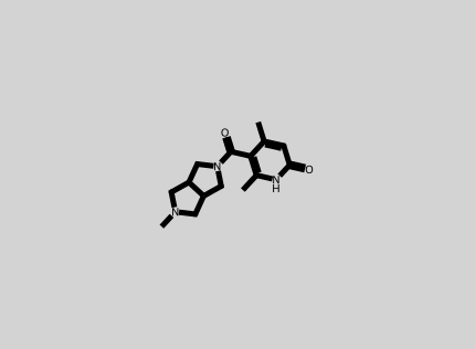 Cc1cc(=O)[nH]c(C)c1C(=O)N1CC2CN(C)CC2C1